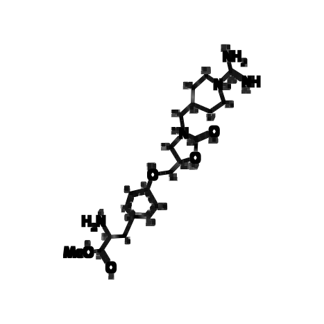 COC(=O)C(N)Cc1ccc(OCC2CN(CC3CCN(C(=N)N)CC3)C(=O)O2)cc1